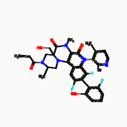 C=CC(=O)N1CC2(CO)C(=O)N(C)c3c(c4cc(F)c(-c5c(O)cccc5F)c(F)c4n(-c4c(C)ccnc4C(C)C)c3=O)N2CC1C